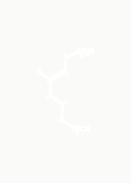 CCCCCCCCC(C)=CCC(=O)O